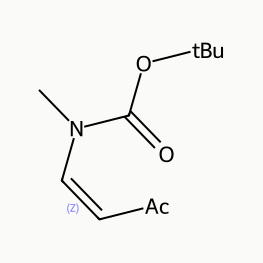 CC(=O)/C=C\N(C)C(=O)OC(C)(C)C